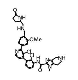 COc1cc(-c2nccc(-c3cccc(NC(=O)c4nc5c(n4C)CCNC5)c3Cl)c2Cl)ccc1CNCC1CCC(=O)N1